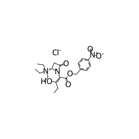 CC/C(O)=C(\C(=O)OCc1ccc([N+](=O)[O-])cc1)N1C(=O)CC1[N+](CC)(CC)CC.[Cl-]